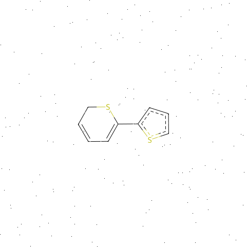 C1=CCSC(c2cccs2)=C1